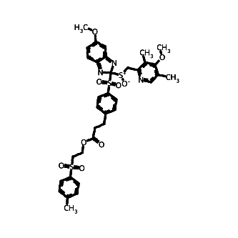 COc1ccc2c(c1)=NC([S+]([O-])Cc1ncc(C)c(OC)c1C)(S(=O)(=O)c1ccc(CCC(=O)OCCS(=O)(=O)c3ccc(C)cc3)cc1)N=2